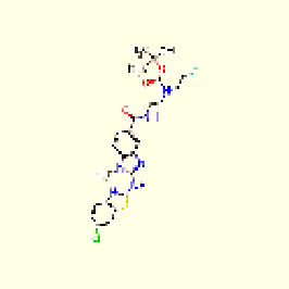 Cn1c(Nc2nc3ccc(Cl)cc3s2)nc2cc(C(=O)NCCN(CCF)C(=O)OC(C)(C)C)ccc21